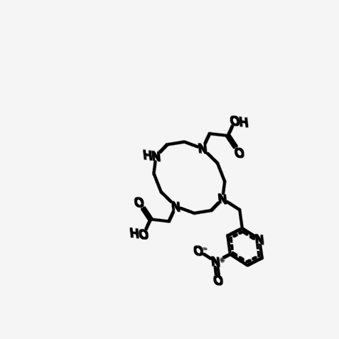 O=C(O)CN1CCNCCN(CC(=O)O)CCN(Cc2cc([N+](=O)[O-])ccn2)CC1